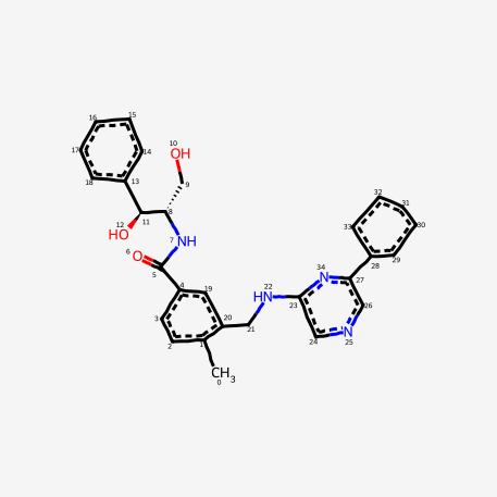 Cc1ccc(C(=O)N[C@@H](CO)[C@@H](O)c2ccccc2)cc1CNc1cncc(-c2ccccc2)n1